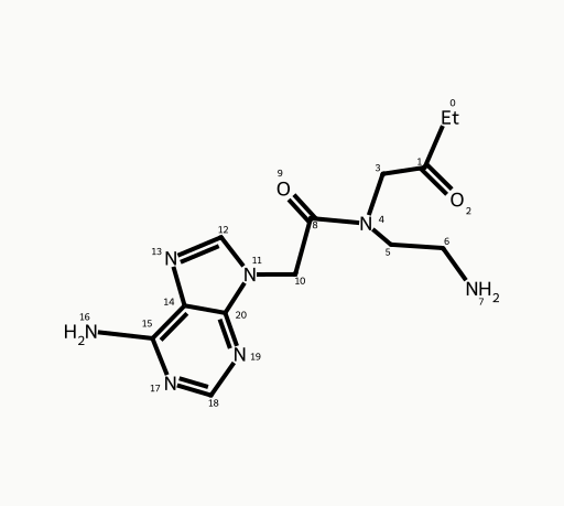 CCC(=O)CN(CCN)C(=O)Cn1cnc2c(N)ncnc21